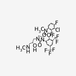 CNCC(O)CN1CCN(c2cc(C(F)(F)F)cc(C(F)(F)F)c2OC(=O)N(C)c2ccc(F)c(Cl)c2F)C1=O